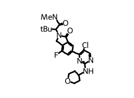 CNC(=O)C(N1Cc2c(F)cc(-c3nc(NC4CCOCC4)ncc3Cl)cc2C1=O)C(C)(C)C